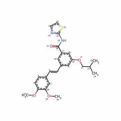 COc1ccc(C=Cc2cc(OCC(C)C)cc(C(=O)Nc3nccs3)c2)cc1OC